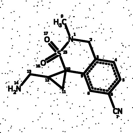 CN1Cc2ccc(C#N)cc2C2(CC2CN)S1(=O)=O